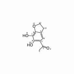 CC(=O)c1cc2c(c(O)c1O)OCC2